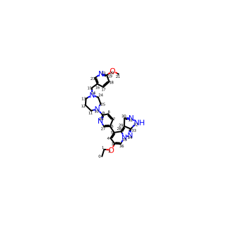 CCOc1cc(-c2ccc(N3CCCN(Cc4ccc(OC)nc4)CC3)nc2)c2c3cn[nH]c3nn2c1